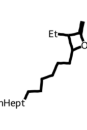 C=C1OC(CCCCCCCCCCCCC)C1CC